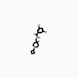 O=C(NCC1(F)CCN(C2CCC2)CC1)c1cc(Cl)cc(Cl)c1